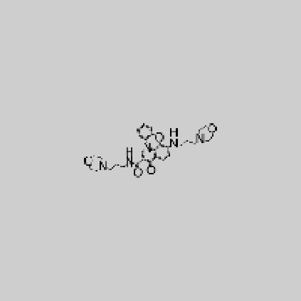 O=C(NCCCN1CCOCC1)c1cn2c3c(c(NCCCN4CCOCC4)ccc3c1=O)Oc1ccccc1-2